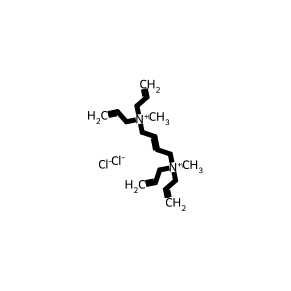 C=CC[N+](C)(CC=C)CC=CC[N+](C)(CC=C)CC=C.[Cl-].[Cl-]